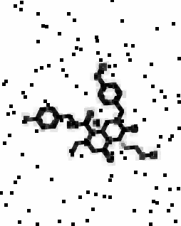 O=C1[C@H](CCSCl)N2C(=O)CN(CI)N(C(=O)NCc3ccc(F)cc3)[C@H]2CN1Cc1ccc(OCl)cc1